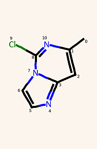 Cc1cc2nccn2c(Cl)n1